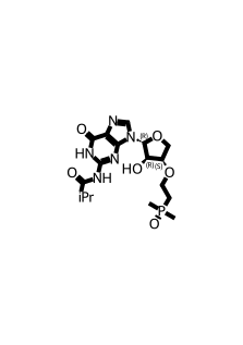 CC(C)C(=O)Nc1nc2c(ncn2[C@@H]2OC[C@H](OCCP(C)(C)=O)[C@H]2O)c(=O)[nH]1